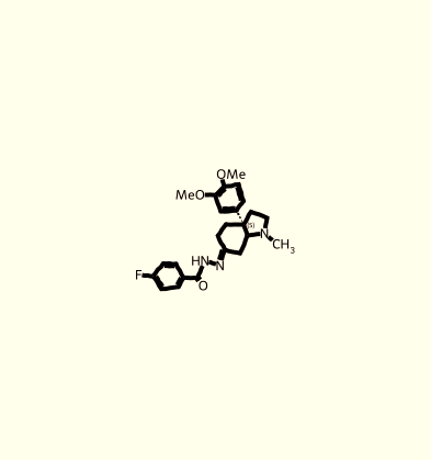 COc1ccc([C@@]23CCC(=NNC(=O)c4ccc(F)cc4)CC2N(C)CC3)cc1OC